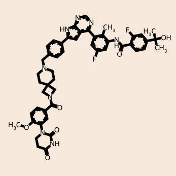 COc1ccc(C(=O)N2CC3(CCN(Cc4ccc(-c5cc6c(-c7cc(F)cc(NC(=O)c8ccc(C(C)(C)O)cc8F)c7C)ncnc6[nH]5)cc4)CC3)C2)cc1N1CCC(=O)NC1=O